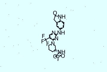 CS(=O)(=O)N[C@@H]1CCCN(c2nc(Nc3ccc4c(c3)CC(=O)N4)ncc2C(F)(F)F)C1